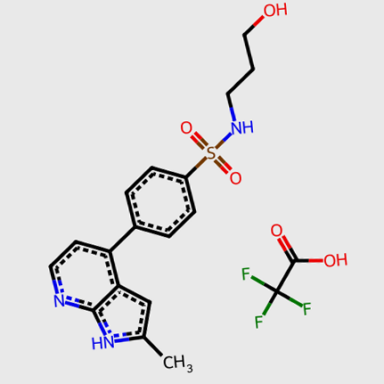 Cc1cc2c(-c3ccc(S(=O)(=O)NCCCO)cc3)ccnc2[nH]1.O=C(O)C(F)(F)F